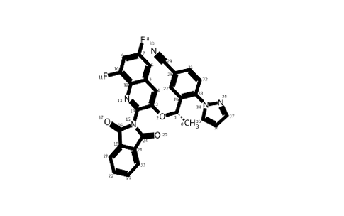 C[C@H](Oc1cc2cc(F)cc(F)c2nc1N1C(=O)c2ccccc2C1=O)c1cc(C#N)ccc1-n1cccn1